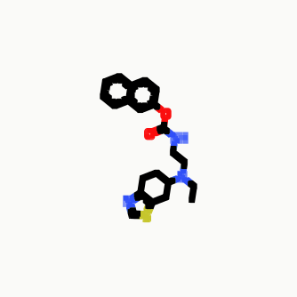 CCN(CCNC(=O)Oc1ccc2ccccc2c1)C1CCc2ncsc2C1